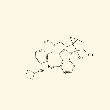 Nc1ncnc2c1ccn2C1(O)C(O)CC2CC21CCc1ccc2ccc(NC3CCC3)nc2c1